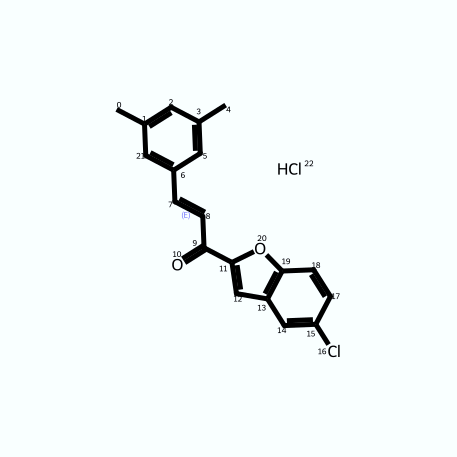 Cc1cc(C)cc(/C=C/C(=O)c2cc3cc(Cl)ccc3o2)c1.Cl